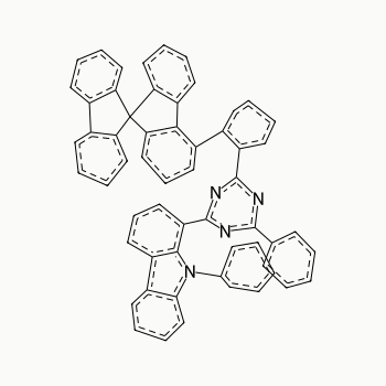 c1ccc(-c2nc(-c3ccccc3-c3cccc4c3-c3ccccc3C43c4ccccc4-c4ccccc43)nc(-c3cccc4c5ccccc5n(-c5ccccc5)c34)n2)cc1